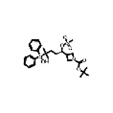 CC(C)(C)OC(=O)N1CC([C@@H](CCC(C)(C)[Si](O)(c2ccccc2)c2ccccc2)OS(C)(=O)=O)C1